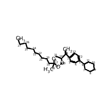 C=C(c1ccc(C2CCCCC2)cc1)C1COC(C)(CCCCCCCCCC)OO1